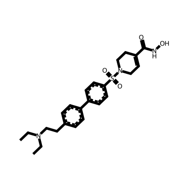 CCN(CC)CCc1ccc(-c2ccc(S(=O)(=O)N3CC=C(C(=O)NO)CC3)cc2)cc1